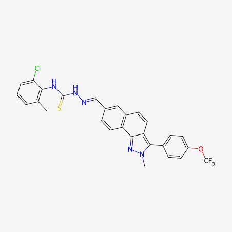 Cc1cccc(Cl)c1NC(=S)N/N=C/c1ccc2c(ccc3c(-c4ccc(OC(F)(F)F)cc4)n(C)nc32)c1